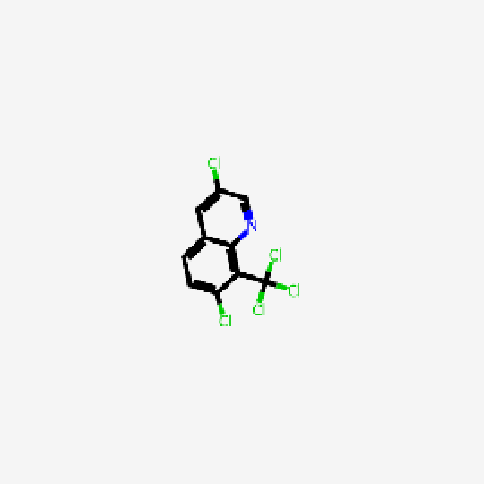 Clc1cnc2c(C(Cl)(Cl)Cl)c(Cl)ccc2c1